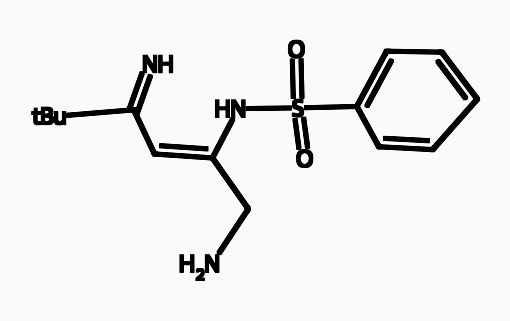 CC(C)(C)C(=N)/C=C(/CN)NS(=O)(=O)c1ccccc1